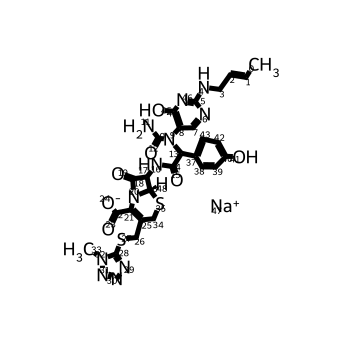 CC=CCNc1ncc(N(C(N)=O)C(C(=O)NC2C(=O)N3C(C(=O)[O-])=C(CSc4nnnn4C)CS[C@@H]23)c2ccc(O)cc2)c(O)n1.[Na+]